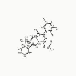 Cc1cc(C)c(C)c(C2=CC(CC(C)C)=C3C=C4C(=CC3N2C)C(C)(C)c2ccccc24)c1